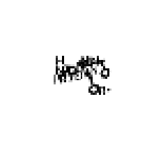 CNC(=O)C12CC1[C@@H](n1cnc3c(NC4CC4c4ccccc4)nc(C#Cc4cccc(Br)c4)nc31)[C@H](O)[C@@H]2O